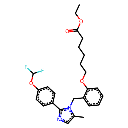 CCOC(=O)CCCCCOc1ccccc1Cn1c(C)cnc1-c1ccc(OC(F)F)cc1